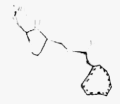 CC[C@@H](OC[C@H]1COC(NN)N1)c1ccccc1